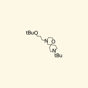 CC(C)(C)OCCCN1CCOC2(CCN(C(C)(C)C)CC2)C1